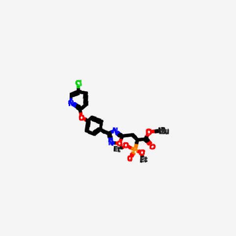 CCOP(=O)(OCC)C(Cc1nc(-c2ccc(Oc3ccc(Cl)cn3)cc2)no1)C(=O)OC(C)(C)C